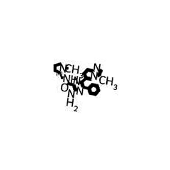 Cc1cnc2ccc(-c3nc(C(=O)NC[C@H]4CCCN4C)c(N)nc3-c3ccccc3)cn12